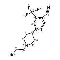 N#Cc1ccc(N2CCN(CCBr)CC2)cc1C(F)(F)F